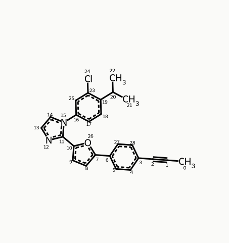 CC#Cc1ccc(-c2ccc(-c3nccn3-c3ccc(C(C)C)c(Cl)c3)o2)cc1